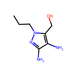 CCCn1nc(N)c(N)c1CO